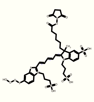 CC1(CCCCCC(=O)ON2C(=O)CCC2=O)/C(=C/C=C/C=C/c2sc3cc(SOOO)ccc3[n+]2CCCS(=O)(=O)O)N(CCCS(=O)(=O)O)c2ccc(S(=O)(=O)O)cc21